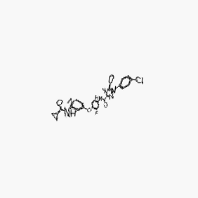 Cn1c(C(=O)Nc2ccc(Oc3ccnc(NC(=O)C4CC4)c3)c(F)c2)nn(-c2ccc(Cl)cc2)c1=O